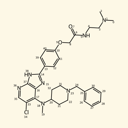 CN(C)CCNC(=O)COc1ccc(-c2nc3c(N(C)C4CCN(Cc5ccccc5)CC4)c(Cl)cnc3[nH]2)cc1